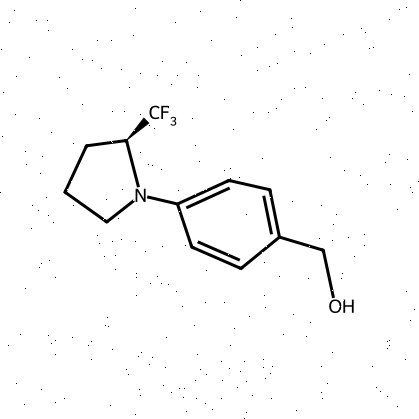 OCc1ccc(N2CCC[C@H]2C(F)(F)F)cc1